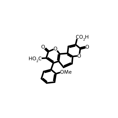 COc1ccccc1-c1c(C(=O)O)c(=O)oc2c1ccc1oc(=O)c(C(=O)O)cc12